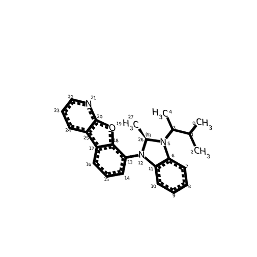 CC(C)C(C)N1c2ccccc2N(c2cccc3c2oc2ncccc23)[C@H]1C